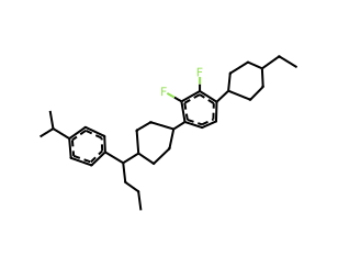 CCCC(c1ccc(C(C)C)cc1)C1CCC(c2ccc(C3CCC(CC)CC3)c(F)c2F)CC1